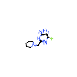 Nc1cc(F)nc(CN2CCCCC2)n1